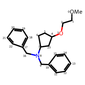 COCCOC1CCC(N(Cc2ccccc2)Cc2ccccc2)C1